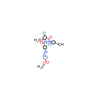 C#Cc1ccc(NC(=O)c2cc(Cl)cc(OC)c2NC(=O)c2ccc(/N=C/N3CCC(C(=O)OCC)CC3)cc2F)cc1